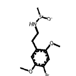 COc1cc(CCN[S+](C)[O-])c(OC)cc1Br